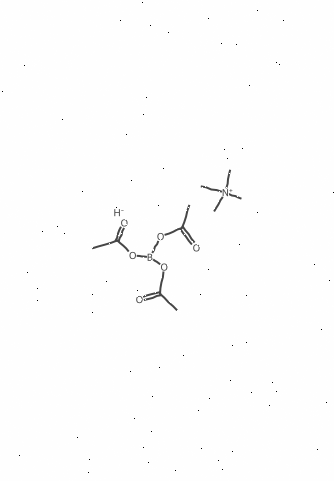 CC(=O)OB(OC(C)=O)OC(C)=O.C[N+](C)(C)C.[H-]